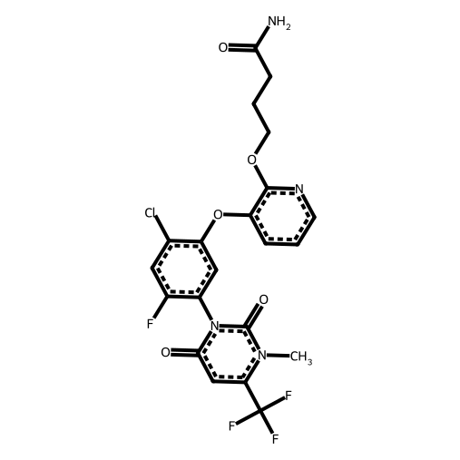 Cn1c(C(F)(F)F)cc(=O)n(-c2cc(Oc3cccnc3OCCCC(N)=O)c(Cl)cc2F)c1=O